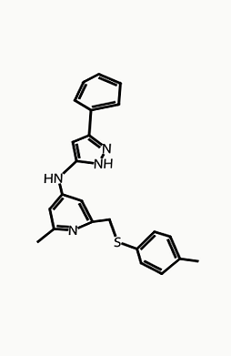 Cc1ccc(SCc2cc(Nc3cc(-c4ccccc4)n[nH]3)cc(C)n2)cc1